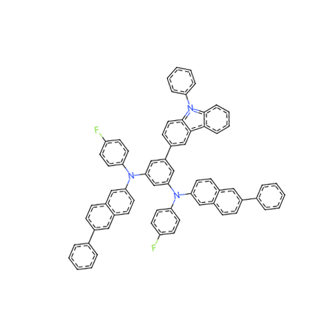 Fc1ccc(N(c2cc(-c3ccc4c(c3)c3ccccc3n4-c3ccccc3)cc(N(c3ccc(F)cc3)c3ccc4cc(-c5ccccc5)ccc4c3)c2)c2ccc3cc(-c4ccccc4)ccc3c2)cc1